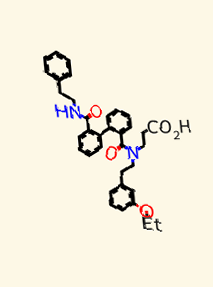 CCOc1cccc(CCN(CCC(=O)O)C(=O)c2ccccc2-c2ccccc2C(=O)NCCc2ccccc2)c1